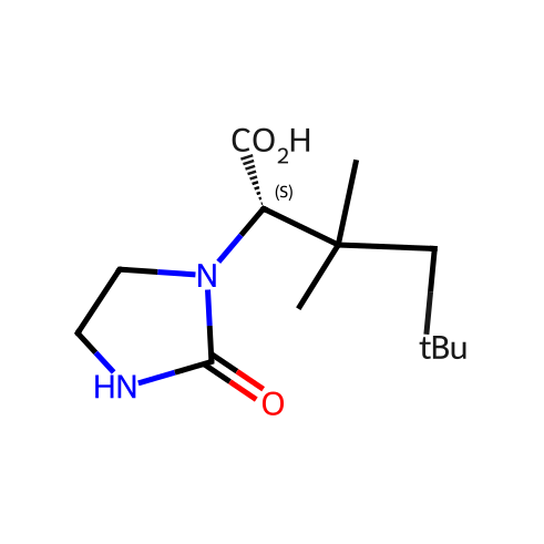 CC(C)(C)CC(C)(C)[C@@H](C(=O)O)N1CCNC1=O